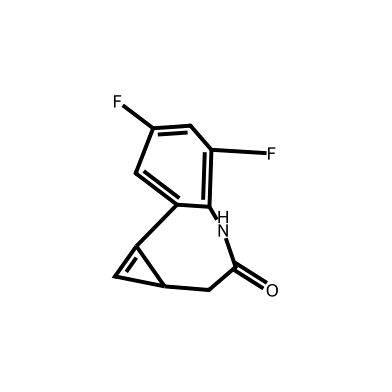 O=C1CC2C=C2c2cc(F)cc(F)c2N1